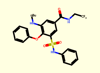 CCCCNc1cc(C(=O)NCC(F)(F)F)cc(S(=O)(=O)Nc2ccccc2)c1Oc1ccccc1